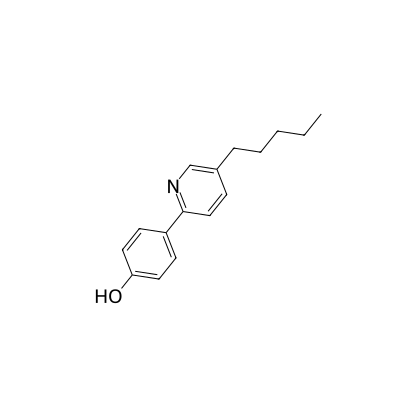 CCCCCc1ccc(-c2ccc(O)cc2)nc1